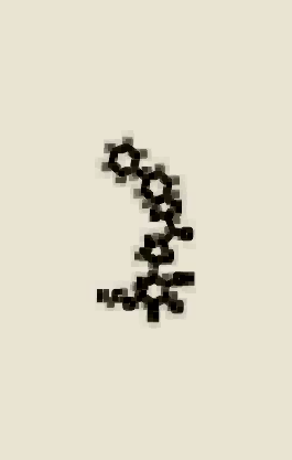 COc1nc(-c2nnc(C(=O)c3nc4ccc(-c5ccccc5)cc4s3)o2)c(O)c(=O)[nH]1